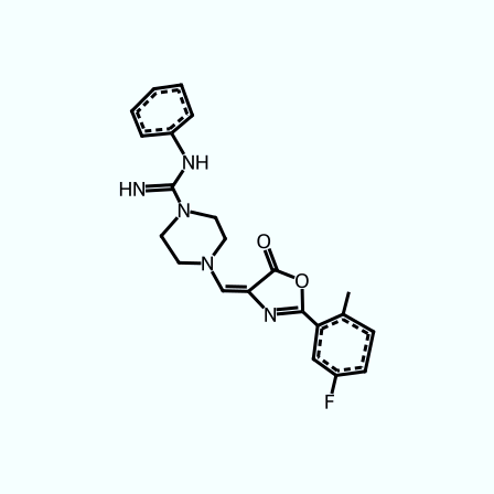 Cc1ccc(F)cc1C1=NC(=CN2CCN(C(=N)Nc3ccccc3)CC2)C(=O)O1